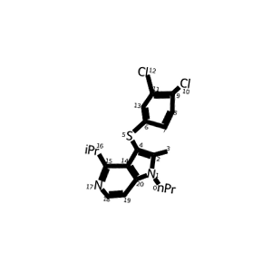 CCCn1c(C)c(Sc2ccc(Cl)c(Cl)c2)c2c(C(C)C)nccc21